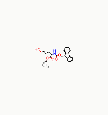 C=CCOC(=O)[C@@H](CCCCO)NC(=O)OCC1c2ccccc2-c2ccccc21